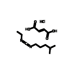 CCN=C=NCCCN(C)C.Cl.O=C(O)C=CC(=O)O